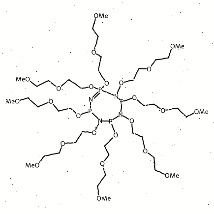 COCCOCCON1P(OCCOCCOC)N=P(OCCOCCOC)(OCCOCCOC)N(OCCOCCOC)P(OCCOCCOC)N(OCCOCCOC)P1OCCOCCOC